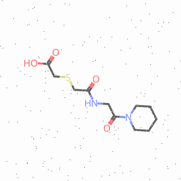 O=C(O)CSCC(=O)NCC(=O)N1CCCCC1